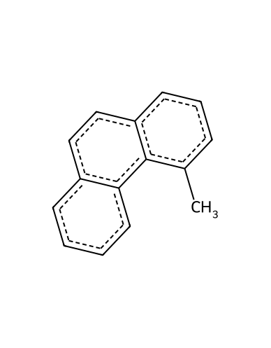 Cc1cccc2ccc3ccccc3c12